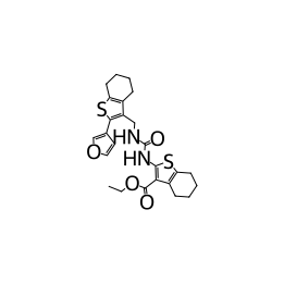 CCOC(=O)c1c(NC(=O)NCc2c(-c3ccoc3)sc3c2CCCC3)sc2c1CCCC2